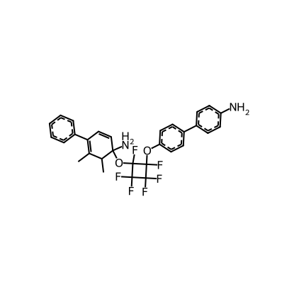 CC1=C(c2ccccc2)C=CC(N)(OC2(F)C(F)(F)C(F)(F)C2(F)Oc2ccc(-c3ccc(N)cc3)cc2)C1C